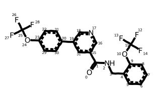 O=C(NCc1ccccc1OC(F)(F)F)c1cncc(-c2ccc(OC(F)(F)F)cc2)c1